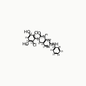 CN1C(=O)N(c2c(Cl)c(O)cc(O)c2Cl)Cc2cnc(Nc3ccccc3)nc21